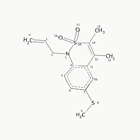 C=CCN1c2ccc(SC)cc2C(C)=C(C)S1(=O)=O